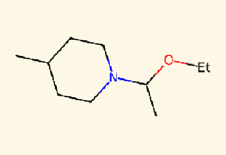 CCOC(C)N1CCC(C)CC1